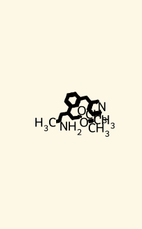 CC(N)CC(CC(=O)OC(C)(C)C)c1cccc(Cc2cccnc2)c1